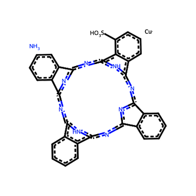 N.O=S(=O)(O)c1cccc2c3nc4nc(nc5[nH]c(nc6nc(nc([nH]3)c12)-c1ccccc1-6)c1ccccc51)-c1ccccc1-4.[Cu]